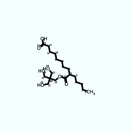 CCCCCC(CCCCCCCC(=O)O)C(=O)OCC(CO)(CO)CO